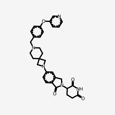 O=C1CCC(N2Cc3cc(N4CC5(CCN(Cc6ccc(Oc7cccnc7)cc6)CC5)C4)ccc3C2=O)C(=O)N1